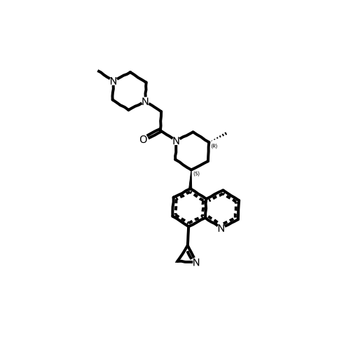 C[C@@H]1C[C@@H](c2ccc(C3=NC3)c3ncccc23)CN(C(=O)CN2CCN(C)CC2)C1